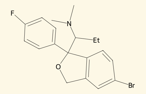 CCC(N(C)C)C1(c2ccc(F)cc2)OCc2cc(Br)ccc21